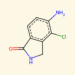 Nc1ccc2c(c1Cl)CNC2=O